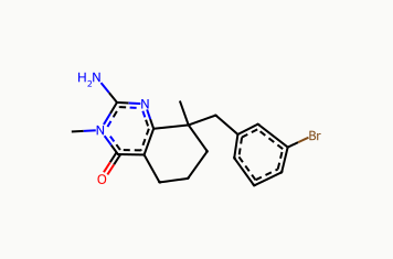 Cn1c(N)nc2c(c1=O)CCCC2(C)Cc1cccc(Br)c1